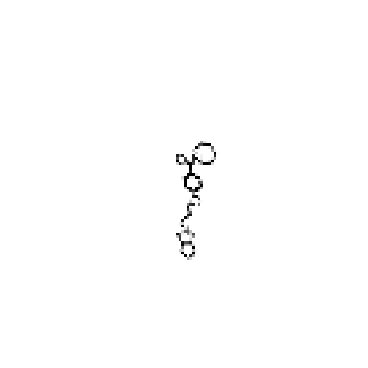 O=C(c1ccc(OCCCN2CC3CCCC3C2)cc1)N1CCCCCC1